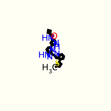 Cc1ccc(-c2cccc3[nH]c(-c4n[nH]c5ccc(-c6cncc(NC(=O)C7CCC7)c6)nc45)cc23)s1